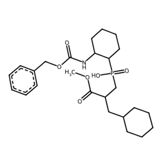 COC(=O)C(CC1CCCCC1)CP(=O)(O)C1CCCCC1NC(=O)OCc1ccccc1